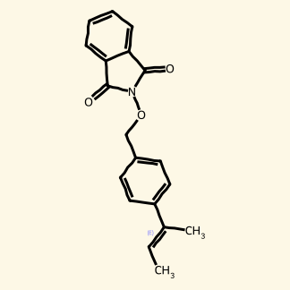 C/C=C(\C)c1ccc(CON2C(=O)c3ccccc3C2=O)cc1